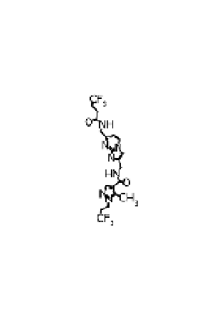 Cc1c(C(=O)NCc2cn3ccc(CNC(=O)CCC(F)(F)F)nc3n2)cnn1CCC(F)(F)F